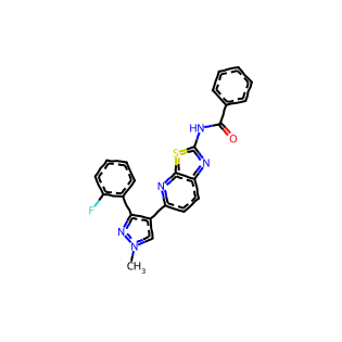 Cn1cc(-c2ccc3nc(NC(=O)c4ccccc4)sc3n2)c(-c2ccccc2F)n1